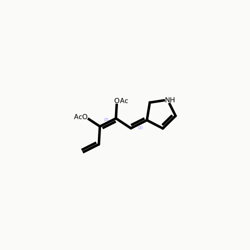 C=C/C(OC(C)=O)=C(\C=C1\C=CNC1)OC(C)=O